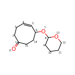 O=C1CC/C=C\C(OC2CCCCO2)CC1